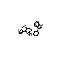 Cn1nccc1-c1nc(N[C@@H]2CCC[C@H](n3cnc4cccnc43)C2)ncc1C#N